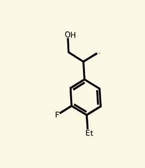 [CH2]C(CO)c1ccc(CC)c(F)c1